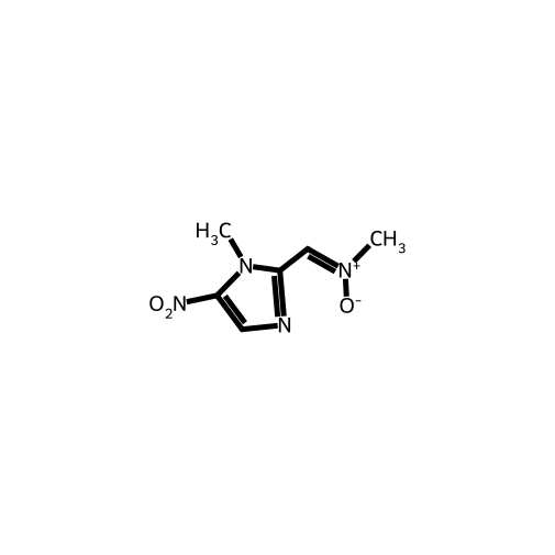 Cn1c([N+](=O)[O-])cnc1C=[N+](C)[O-]